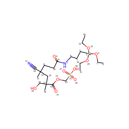 CCO[Si](CCCNC(=O)CCC(C)(C#N)CC(C)(CO)C(=O)OCS(=O)(=O)O)(OCC)OCC